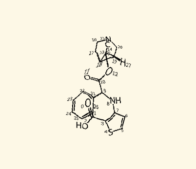 O=C(O)c1sccc1NC(C(=O)O[C@H]1CN2CCC1CC2)c1ccccc1